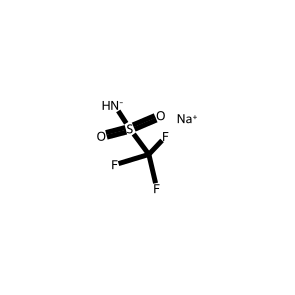 [NH-]S(=O)(=O)C(F)(F)F.[Na+]